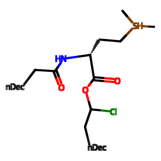 CCCCCCCCCCCC(=O)N[C@H](CC[SH](C)C)C(=O)OC(Cl)CCCCCCCCCCC